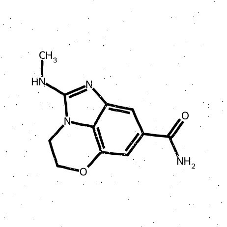 CNc1nc2cc(C(N)=O)cc3c2n1CCO3